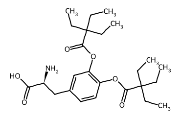 CCC(CC)(CC)C(=O)Oc1ccc(C[C@H](N)C(=O)O)cc1OC(=O)C(CC)(CC)CC